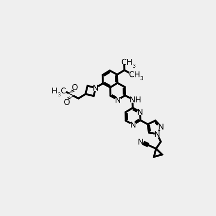 CC(C)c1ccc(N2CC(CS(C)(=O)=O)C2)c2cnc(Nc3ccnc(-c4cnn(CC5(C#N)CC5)c4)n3)cc12